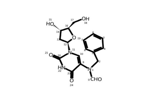 O=CN(Cc1ccccc1)c1cn([C@H]2C[C@H](O)[C@@H](CO)O2)c(=O)[nH]c1=O